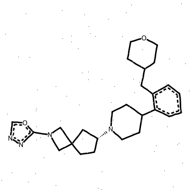 c1ccc(C2CCN([C@@H]3CCC4(C3)CN(c3nnco3)C4)CC2)c(CC2CCOCC2)c1